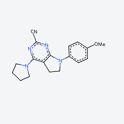 COc1ccc(N2CCc3c(N4CCCC4)nc(C#N)nc32)cc1